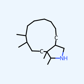 CC1CCCCCCC2CNC(C)C2(C)CCC1C